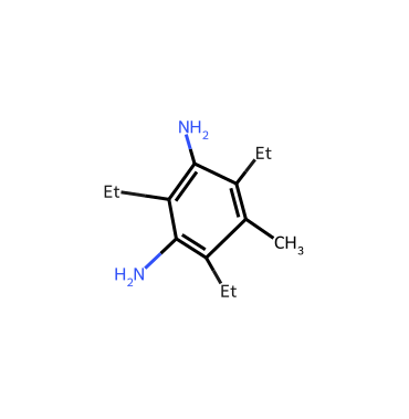 CCc1c(C)c(CC)c(N)c(CC)c1N